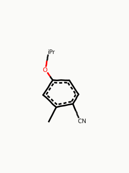 Cc1cc(OC(C)C)ccc1C#N